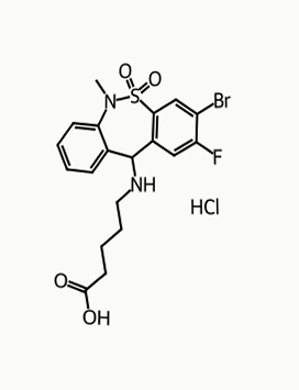 CN1c2ccccc2C(NCCCCC(=O)O)c2cc(F)c(Br)cc2S1(=O)=O.Cl